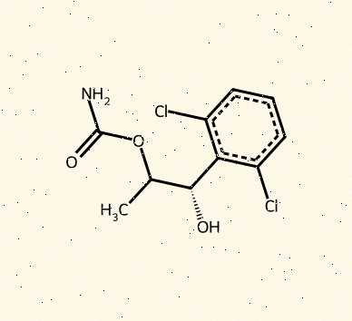 CC(OC(N)=O)[C@@H](O)c1c(Cl)cccc1Cl